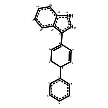 C1=CC(c2ccccc2)CC=C1c1n[nH]c2ccccc12